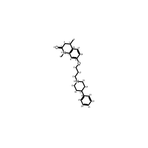 CC1CC(=O)N(C)c2cc(OCCCN3CCC(c4ccccc4)CC3)ccc21